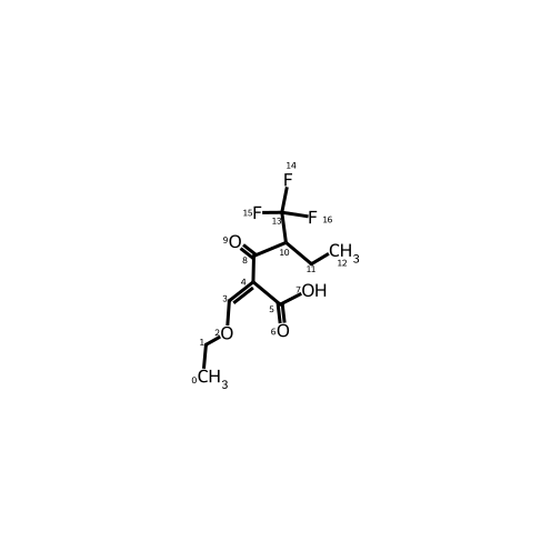 CCOC=C(C(=O)O)C(=O)C(CC)C(F)(F)F